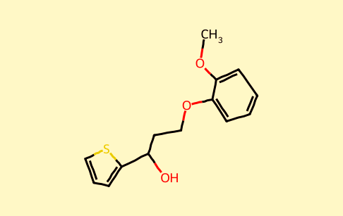 COc1ccccc1OCCC(O)c1cccs1